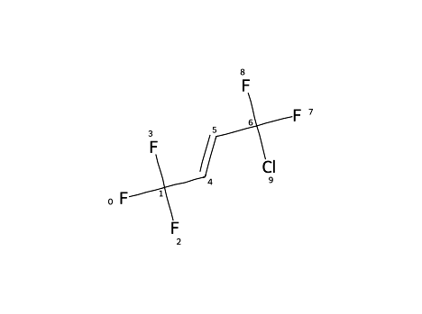 FC(F)(F)C=CC(F)(F)Cl